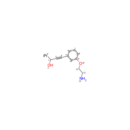 CC(C)C(O)C#Cc1cccc(OCCN)c1